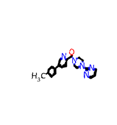 Cc1ccc(-c2ccc(C(=O)N3CCN(c4ncccn4)CC3)nc2)cc1